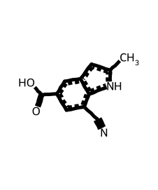 Cc1cc2cc(C(=O)O)cc(C#N)c2[nH]1